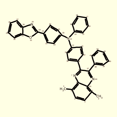 Cc1ccc(C)c2nc(-c3ccc(N(c4ccccc4)c4ccc(-c5nc6ccccc6o5)cc4)cc3)c(-c3ccccc3)nc12